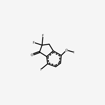 O=C1c2c(I)ccc(OI)c2CC1(F)F